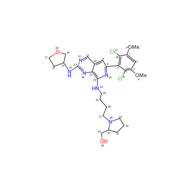 COc1cc(OC)c(Cl)c(-c2cc3cnc(NC4CCOC4)nc3c(NCCCCN3CCCC3CO)n2)c1Cl